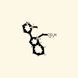 Cn1nccc1-c1cc2ccccc2n1CC(=O)O